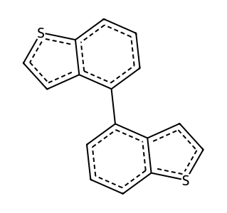 c1cc(-c2cccc3sccc23)c2ccsc2c1